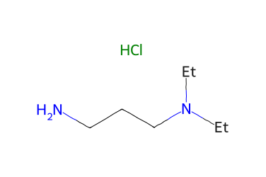 CCN(CC)CCCN.Cl